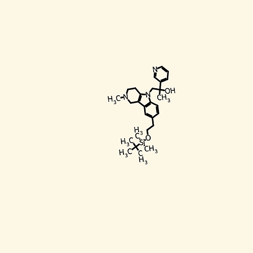 CN1CCc2c(c3cc(CCO[Si](C)(C)C(C)(C)C)ccc3n2CC(C)(O)c2cccnc2)C1